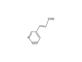 O=C/C=C/c1cc#cnc1